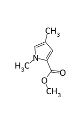 COC(=O)c1cc(C)cn1C